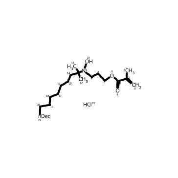 C=C(C)C(=O)OCCCN(O)C(C)(C)CCCCCCCCCCCCCCCCC.Cl